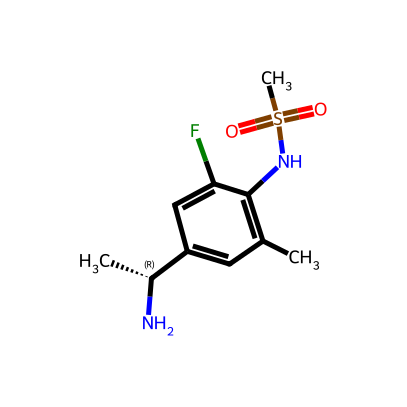 Cc1cc([C@@H](C)N)cc(F)c1NS(C)(=O)=O